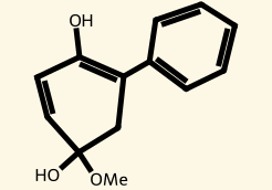 COC1(O)C=CC(O)=C(c2ccccc2)C1